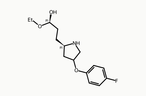 CCO[C@@H](O)CC[C@@H]1CC(Oc2ccc(F)cc2)CN1